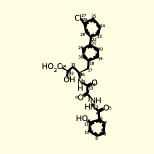 O=C(NNC(=O)c1ccccc1O)C(=O)N[C@H](Cc1ccc(-c2cccc(Cl)c2)cc1)C[C@@H](O)C(=O)O